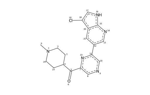 CN1CCC(C(=O)c2cncc(-c3cnc4[nH]cc(Cl)c4c3)n2)CC1